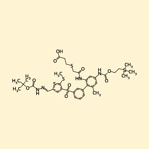 CSc1sc(C=NNC(=O)OC(C)(C)C)cc1S(=O)(=O)c1cccc(-c2c(C)cc(NC(=O)OCC[Si](C)(C)C)cc2NC(=O)CSCCC(=O)O)c1